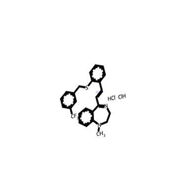 CN1CCN=C(/C=C/c2ccccc2SCc2cccc(C(F)(F)F)c2)c2ccccc21.Cl.Cl